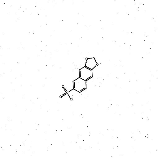 O=S(=O)(Cl)c1ccc2cc3c(cc2c1)OCO3